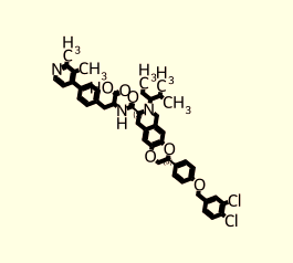 CCC(C(C)C)N1Cc2cc3c(cc2C[C@H]1C(=O)NC(Cc1ccc(-c2ccnc(C)c2C)cc1)C(=O)O)OC[C@H](c1ccc(OCc2ccc(Cl)c(Cl)c2)cc1)O3